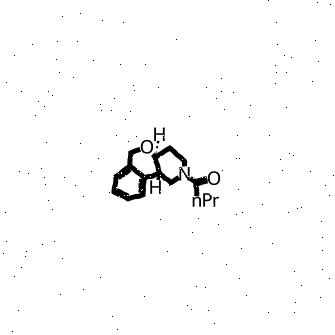 CCCC(=O)N1CC[C@@H]2OCc3ccccc3[C@H]2C1